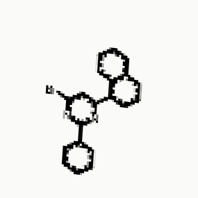 Brc1cc(-c2cccc3ccccc23)nc(-c2ccccc2)n1